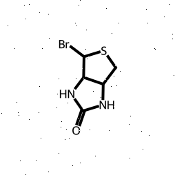 O=C1NC2CSC(Br)C2N1